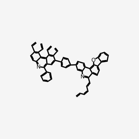 C=C/C=C\C=C\c1nc2cc(-c3ccc(-c4cc5c(-c6ccccc6)nc6ccc(C=C)c(C=C)c6c5c(C=C)c4C=C)cc3)ccc2c2c1ccc1c3ccccc3oc12